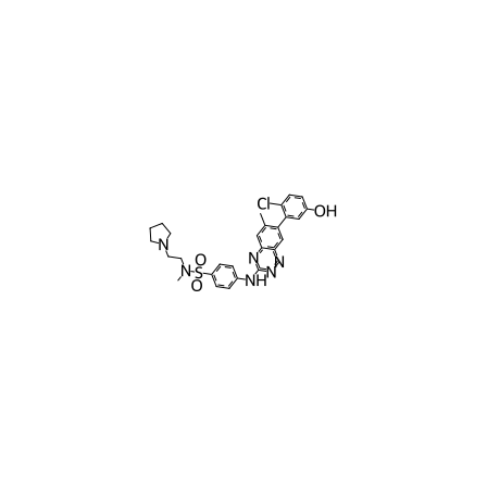 Cc1cc2nc(Nc3ccc(S(=O)(=O)N(C)CCN4CCCC4)cc3)nnc2cc1-c1cc(O)ccc1Cl